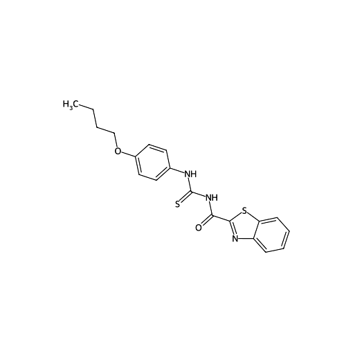 CCCCOc1ccc(NC(=S)NC(=O)c2nc3ccccc3s2)cc1